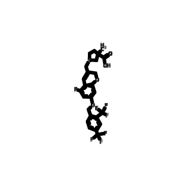 CC1(C(=O)O)CCN(CC2=Cc3c(F)cc(OCc4ccc(C(F)(F)F)cc4C(F)(F)F)cc3OC2)C1